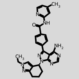 CCn1cc2c(n1)CCC[C@@H]2n1nc(-c2ccc(C(=O)Nc3cc(C)ccn3)cc2)c2c(N)ncnc21